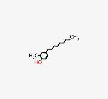 C=C1C=C(CCCCCCCCC)C=CC1O